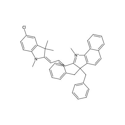 CN1/C(=C/C=C/C2=[N+](C)c3c(ccc4ccccc34)C2(Cc2ccccc2)Cc2ccccc2)C(C)(C)c2cc(Cl)ccc21